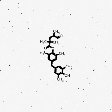 Cc1cc(Cc2cc(C)c(OC(=O)C(C)(C)CC(C)C=O)c(C)c2)cc(C)c1O